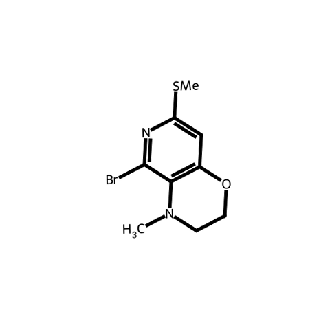 CSc1cc2c(c(Br)n1)N(C)CCO2